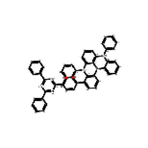 c1ccc(-c2nc(-c3ccccc3)nc(-c3ccc(-c4cccc5c4N(c4ccccc4)c4cccc6c4B5c4ccccc4N6c4ccccc4)cc3)n2)cc1